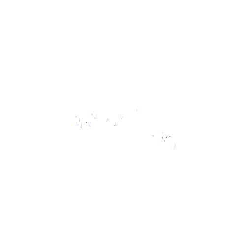 COC(C)[C@]12CC[C@@](C)(O)C[C@H]1CC[C@H]1[C@@H]3CC[C@H](C(=O)Cn4nnnc4C)[C@@]3(C)CC[C@@H]12